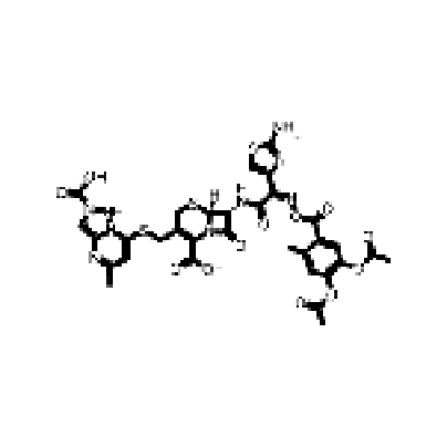 CC(=O)Oc1cc(C)c(C(=O)O/N=C(\C(=O)N[C@@H]2C(=O)N3C(C(=O)O)=C(CSC4=CC(C)=NC5=CN(C(=O)O)NN54)CS[C@H]23)c2csc(N)n2)cc1OC(C)=O